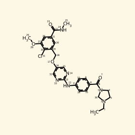 CCN1CCN(C(=O)c2ccc(Nc3ncc(OCc4cc(C(=O)NC)cc(OC)c4Cl)cn3)cc2)C1